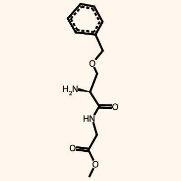 COC(=O)CNC(=O)[C@@H](N)COCc1ccccc1